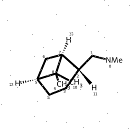 CNC[C@@H]1CC[C@H]2C[C@@H]1C2(C)C